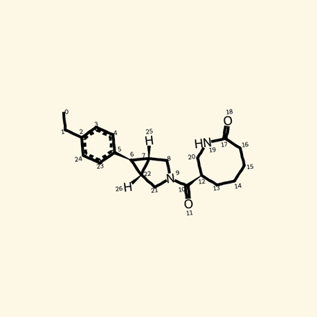 CCc1ccc([C@H]2[C@@H]3CN(C(=O)[C@@H]4CCCCC(=O)NC4)C[C@@H]32)cc1